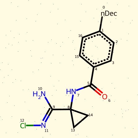 CCCCCCCCCCc1ccc(C(=O)NC2(/C(N)=N/Cl)CC2)cc1